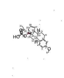 COc1ccc2c(c1)CC[C@@H]1[C@@H]2CC[C@@]2(C)C13C=C[C@]2(C(C)=O)C(OC(=O)O)=C3